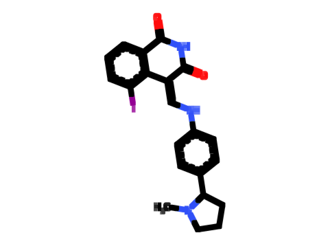 CN1CCCC1c1ccc(NC=C2C(=O)NC(=O)c3cccc(I)c32)cc1